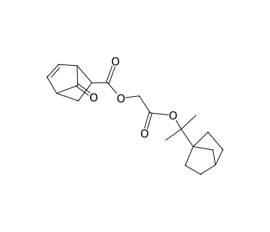 CC(C)(OC(=O)COC(=O)C1CC2C=CC1C2=O)C12CCC(CC1)C2